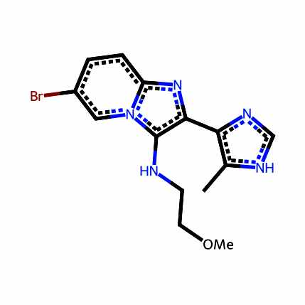 COCCNc1c(-c2nc[nH]c2C)nc2ccc(Br)cn12